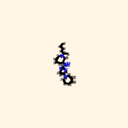 CCCCC(C)N1CCCCC(Nc2nccc(N3CCCCCC3)n2)C1